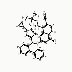 CC(C)(C)CNc1c(C#N)cnc2c(Cl)cc(NC(c3cn(C4CC4)nn3)c3ccccc3-c3ccccc3)cc12